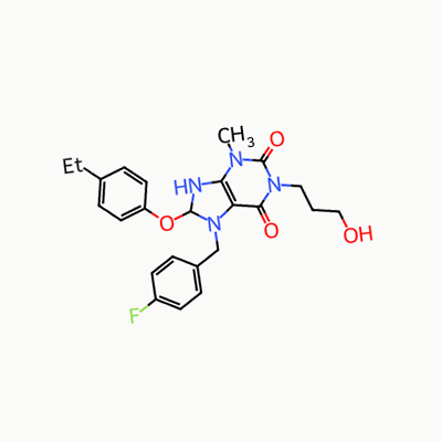 CCc1ccc(OC2Nc3c(c(=O)n(CCCO)c(=O)n3C)N2Cc2ccc(F)cc2)cc1